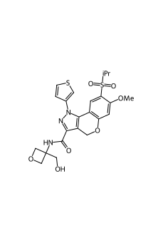 COc1cc2c(cc1S(=O)(=O)C(C)C)-c1c(c(C(=O)NC3(CO)COC3)nn1-c1ccsc1)CO2